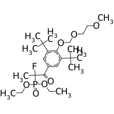 CCOP(=O)(OCC)C(C)(F)C(=O)c1cc(C(C)(C)C)c(OCOCCOC)c(C(C)(C)C)c1